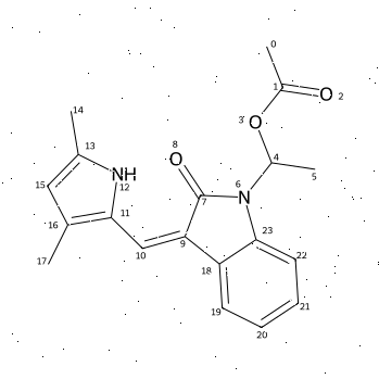 CC(=O)OC(C)N1C(=O)C(=Cc2[nH]c(C)cc2C)c2ccccc21